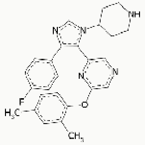 Cc1ccc(Oc2cncc(-c3c(-c4ccc(F)cc4)ncn3C3CCNCC3)n2)c(C)c1